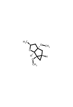 CO[C@]12C[C@@H]3C[C@]3(OC)[C@H]1O[C@@H](C)C2